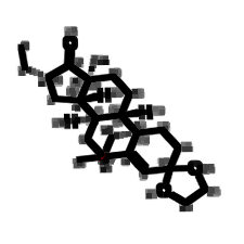 CC[C@H]1C[C@H]2[C@@H]3CCC4=CC5(CC[C@]4(CSC)[C@H]3CC[C@]2(C)C1=O)OCCO5